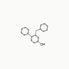 Oc1ccc(-c2ccccc2)c(Cc2ccccc2)c1